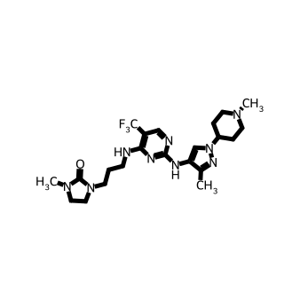 Cc1nn(C2CCN(C)CC2)cc1Nc1ncc(C(F)(F)F)c(NCCCN2CCN(C)C2=O)n1